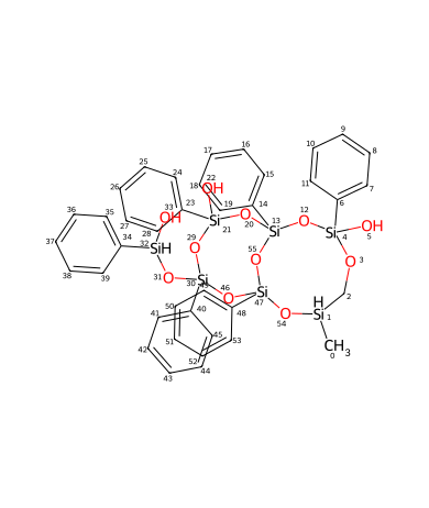 C[SiH]1CO[Si](O)(c2ccccc2)O[Si]2(c3ccccc3)O[Si](O)(c3ccccc3)O[Si](O[SiH](O)c3ccccc3)(c3ccccc3)O[Si](c3ccccc3)(O1)O2